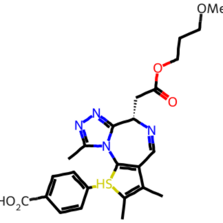 COCCCOC(=O)C[C@@H]1N=CC2=C(n3c(C)nnc31)[SH](c1ccc(C(=O)O)cc1)C(C)=C2C